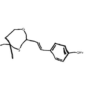 COc1ccc(C=CC2OCCC(C)(C)S2)cc1